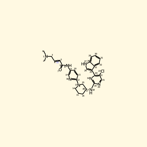 CN(C)C/C=C/C(=O)Nc1ccc(N2CCC[C@@H](Nc3ncc(Cl)c(-c4c[nH]c5ccccc45)n3)C2)nc1